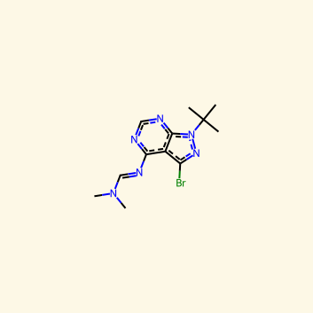 CN(C)C=Nc1ncnc2c1c(Br)nn2C(C)(C)C